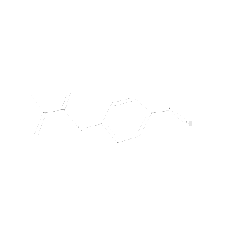 C=C(C)C(=O)Nc1ccc(N=N)cc1